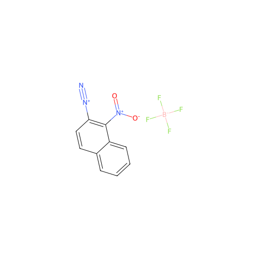 F[B-](F)(F)F.N#[N+]c1ccc2ccccc2c1[N+](=O)[O-]